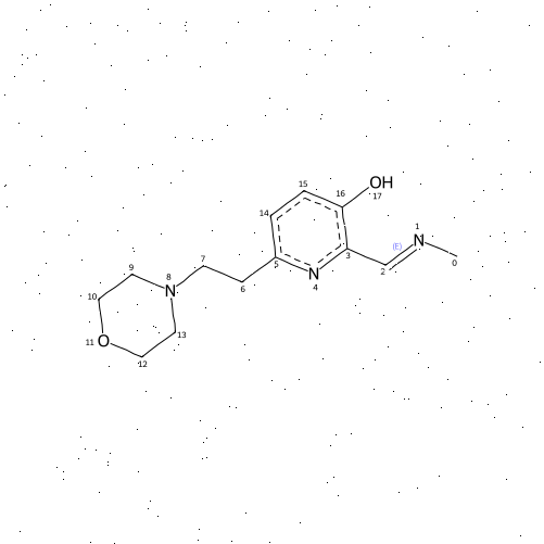 C/N=C/c1nc(CCN2CCOCC2)ccc1O